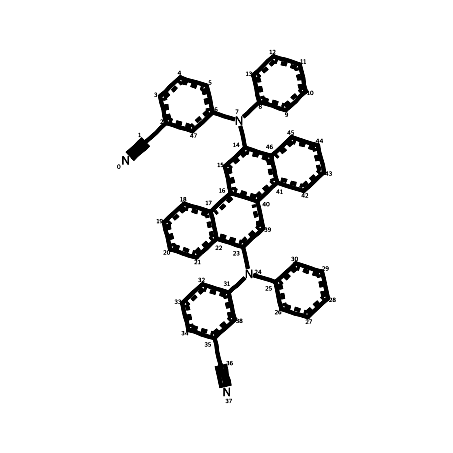 N#Cc1cccc(N(c2ccccc2)c2cc3c4ccccc4c(N(c4ccccc4)c4cccc(C#N)c4)cc3c3ccccc23)c1